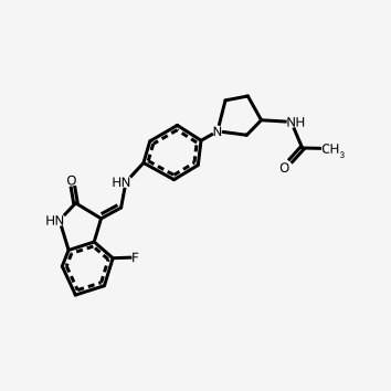 CC(=O)NC1CCN(c2ccc(NC=C3C(=O)Nc4cccc(F)c43)cc2)C1